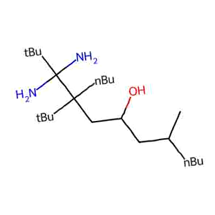 CCCCC(C)CC(O)CC(CCCC)(C(C)(C)C)C(N)(N)C(C)(C)C